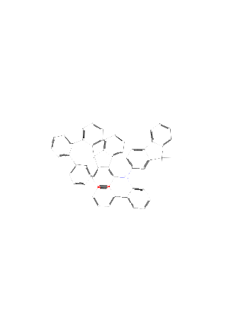 CC1(C)c2ccccc2-c2ccc(N(c3ccccc3-c3ccccc3)c3cccc4c3-c3ccccc3C43c4ccccc4-c4ccccc4-c4ccccc43)cc21